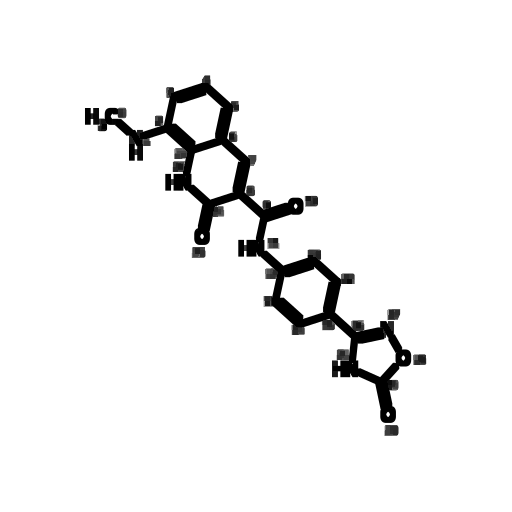 CNc1cccc2cc(C(=O)Nc3ccc(-c4noc(=O)[nH]4)cc3)c(=O)[nH]c12